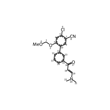 COCOc1cc(Cl)c(C#N)cc1-c1cccc(C(=O)C=CN(C)C)c1